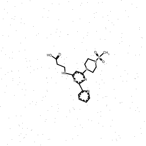 CS(=O)(=O)N1CCN(c2cc(NCCC(=O)O)nc(-c3ccccn3)n2)CC1